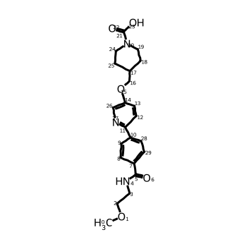 COCCNC(=O)c1ccc(-c2ccc(OCC3CCN(C(=O)O)CC3)cn2)cc1